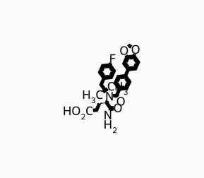 CC(C)(Cc1ccc(F)cc1)N(C(=O)c1ccc(-c2ccc3c(c2)OCO3)cc1)[C@@H](CCC(=O)O)C(N)=O